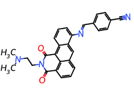 CN(C)CCN1C(=O)c2cccc3cc4c(N=Cc5ccc(C#N)cc5)cccc4c(c23)C1=O